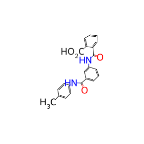 Cc1ccc(NC(=O)c2cccc(NC(=O)c3ccccc3C(=O)O)c2)cc1